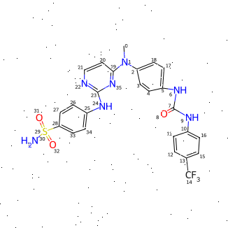 CN(c1ccc(NC(=O)Nc2ccc(C(F)(F)F)cc2)cc1)c1ccnc(Nc2ccc(S(N)(=O)=O)cc2)n1